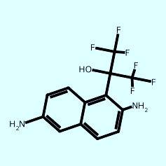 Nc1ccc2c(C(O)(C(F)(F)F)C(F)(F)F)c(N)ccc2c1